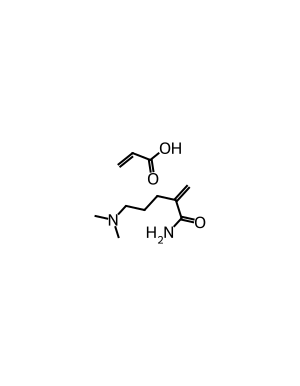 C=C(CCCN(C)C)C(N)=O.C=CC(=O)O